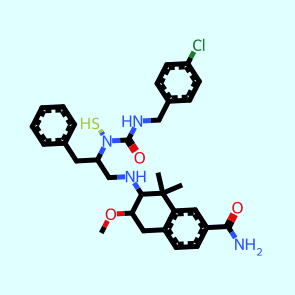 COC1Cc2ccc(C(N)=O)cc2C(C)(C)C1NCC(Cc1ccccc1)N(S)C(=O)NCc1ccc(Cl)cc1